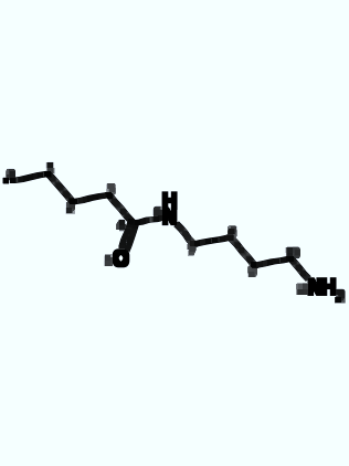 [CH2]CCCC(=O)NCCCCN